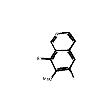 COc1c(I)cc2ccncc2c1Br